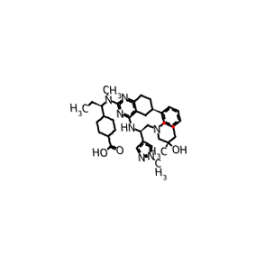 CC[C@H](C1CCC(C(=O)O)CC1)N(C)c1nc2c(c(N[C@@H](CN3CCC[C@](C)(O)C3)c3cnn(C)c3)n1)C[C@H](c1ccccc1)CC2